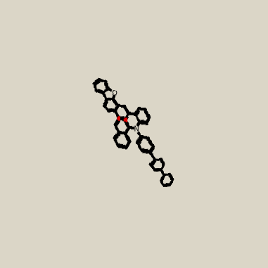 c1ccc(-c2ccc(-c3ccc(N(c4ccccc4-c4ccc5ccc6c7ccccc7oc6c5c4)c4cccc5ccccc45)cc3)cc2)cc1